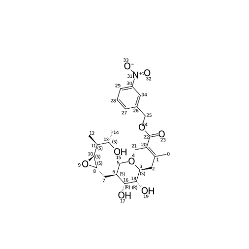 CC(C[C@@H]1OC[C@H](C[C@@H]2O[C@H]2[C@@H](C)[C@H](C)O)[C@@H](O)[C@H]1O)=C(C)C(=O)OCc1cccc([N+](=O)[O-])c1